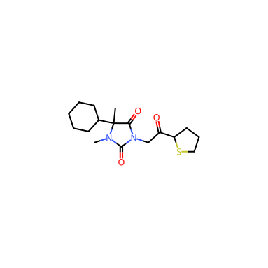 CN1C(=O)N(CC(=O)C2CCCS2)C(=O)C1(C)C1CCCCC1